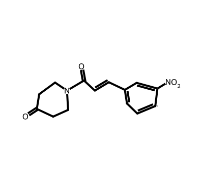 O=C1CCN(C(=O)/C=C/c2cc[c]c([N+](=O)[O-])c2)CC1